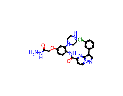 NNC(=O)COc1ccc(NC(=O)c2ccn3ncc(-c4cccc(Cl)c4)c3n2)c(N2CCNCC2)c1